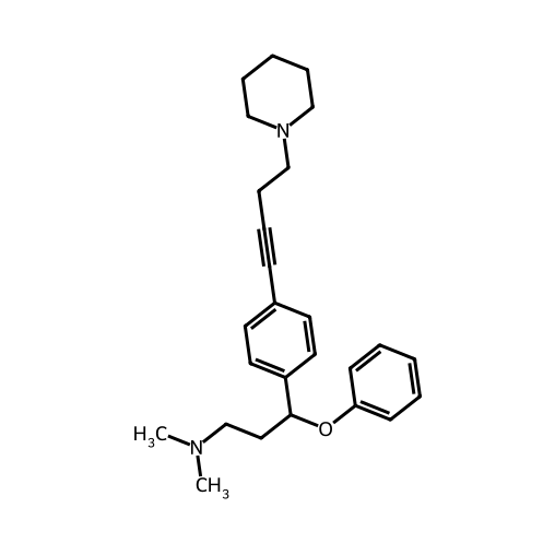 CN(C)CCC(Oc1ccccc1)c1ccc(C#CCCN2CCCCC2)cc1